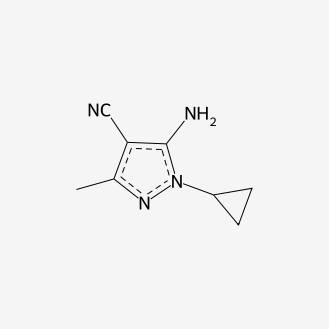 Cc1nn(C2CC2)c(N)c1C#N